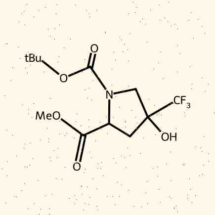 COC(=O)C1CC(O)(C(F)(F)F)CN1C(=O)OC(C)(C)C